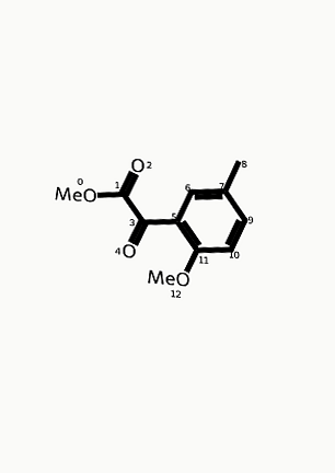 COC(=O)C(=O)c1cc(C)ccc1OC